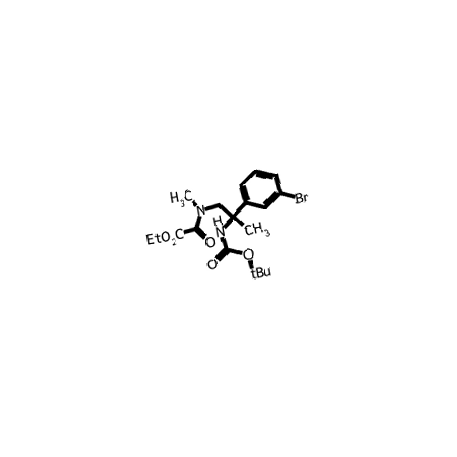 CCOC(=O)C(=O)N(C)CC(C)(NC(=O)OC(C)(C)C)c1cccc(Br)c1